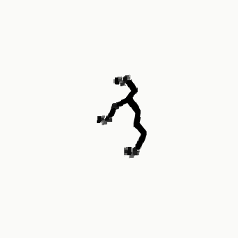 [CH2]CC(CCCC)OC